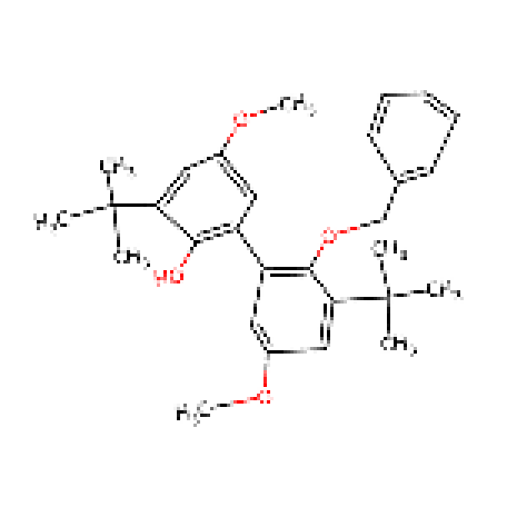 COc1cc(-c2cc(OC)cc(C(C)(C)C)c2OCc2ccccc2)c(O)c(C(C)(C)C)c1